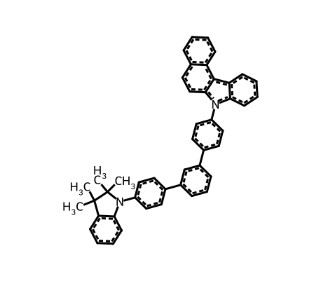 CC1(C)c2ccccc2N(c2ccc(-c3cccc(-c4ccc(-n5c6ccccc6c6c7ccccc7ccc65)cc4)c3)cc2)C1(C)C